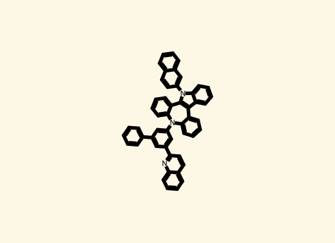 c1ccc(-c2cc(-c3ccc4ccccc4n3)cc(N3c4ccccc4-c4c(n(-c5ccc6ccccc6c5)c5ccccc45)-c4ccccc43)c2)cc1